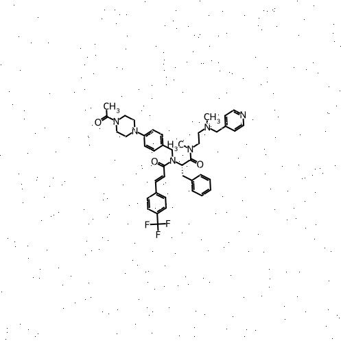 CC(=O)N1CCN(c2ccc(CN(C(=O)C=Cc3ccc(C(F)(F)F)cc3)[C@@H](Cc3ccccc3)C(=O)N(C)CCN(C)Cc3ccncc3)cc2)CC1